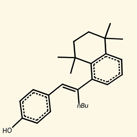 CCCCC(=Cc1ccc(O)cc1)c1cccc2c1C(C)(C)CCC2(C)C